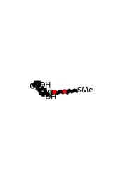 CSCCCCCCCCCCCOC(O)C1C=CC(CN2C(=O)CCC2O)CC1